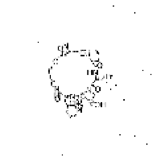 CC(C)C[C@H]1NC(=O)c2ccccc2OCc2noc(n2)CCCCCNC(=O)[C@H](Cc2cccnc2)N(C)C(=O)[C@H]2C[C@H](O)CN2C1=O